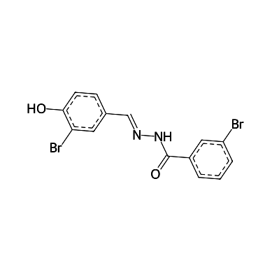 O=C(NN=Cc1ccc(O)c(Br)c1)c1cccc(Br)c1